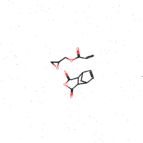 C=CC(=O)OCC1CO1.O=C1OC(=O)C2C3C=CC(C3)C12